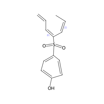 C=C/C=C(\C=C/C)S(=O)(=O)c1ccc(O)cc1